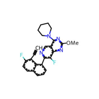 C#Cc1c(F)ccc2cccc(-c3ncc4c(N5CCCCC5)nc(OC)nc4c3F)c12